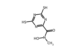 CN(O)C(=O)c1nc(S)nc(S)n1